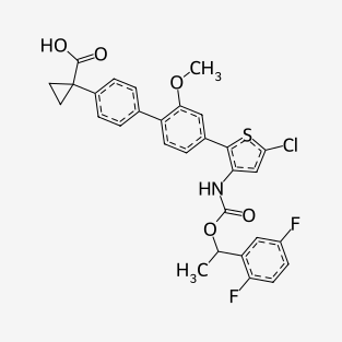 COc1cc(-c2sc(Cl)cc2NC(=O)OC(C)c2cc(F)ccc2F)ccc1-c1ccc(C2(C(=O)O)CC2)cc1